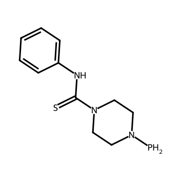 PN1CCN(C(=S)Nc2ccccc2)CC1